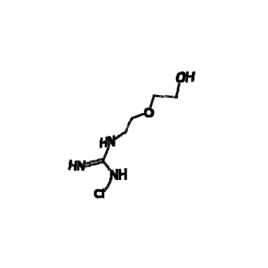 N=C(NCl)NCCOCCO